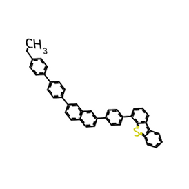 CCc1ccc(-c2ccc(-c3ccc4ccc(-c5ccc(-c6cccc7c6sc6ccccc67)cc5)cc4c3)cc2)cc1